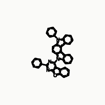 c1ccc(-c2nc(-n3c4ccccc4c4c5c6ccccc6n(-c6ccccc6)c5ccc43)c3c(n2)oc2ccccc23)cc1